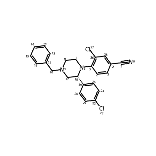 N#Cc1ccc(N2CCN(Cc3ccccc3)C[C@H]2c2ccc(Cl)cc2)c(Cl)c1